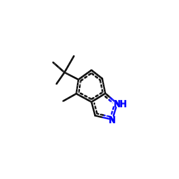 Cc1c(C(C)(C)C)ccc2[nH]ncc12